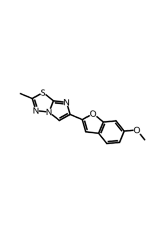 COc1ccc2cc(-c3cn4nc(C)sc4n3)oc2c1